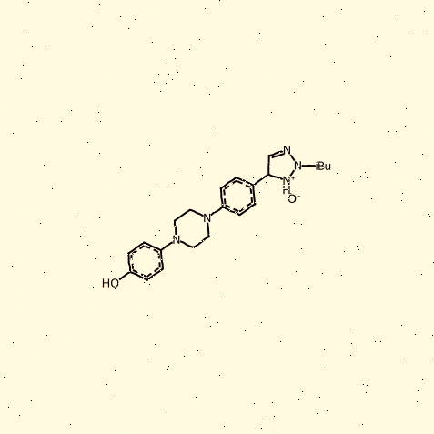 CCC(C)N1N=CC(c2ccc(N3CCN(c4ccc(O)cc4)CC3)cc2)[NH+]1[O-]